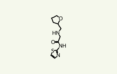 O=C(CNCC1CCCO1)Nc1nccs1